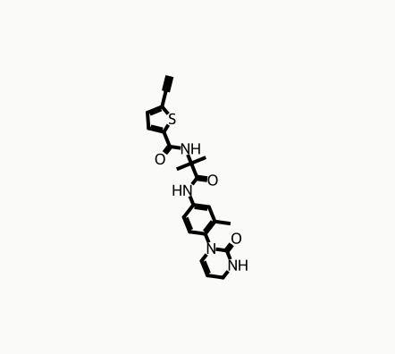 C#Cc1ccc(C(=O)NC(C)(C)C(=O)Nc2ccc(N3C=CCNC3=O)c(C)c2)s1